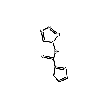 O=C(Nn1cnnn1)c1nccs1